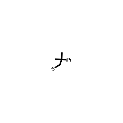 CC(C)C(C)(C)C[S]